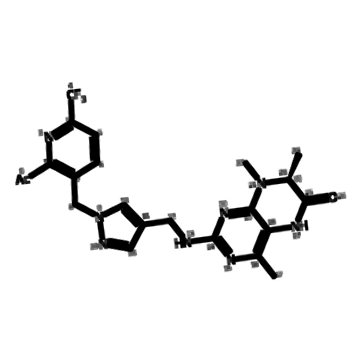 CC(=O)c1nc(C(F)(F)F)ccc1Cn1cc(CNc2nc(C)c3c(n2)N(C)[C@@H](C)C(=O)N3)cn1